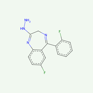 NNC1=Nc2ccc(F)cc2C(c2ccccc2F)=NC1